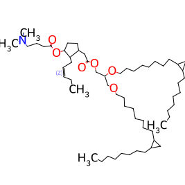 CC/C=C\CC1C(CC(=O)OCC(COCCCCCCCCC2CC2CCCCCCCC)OCCCCCCCCC2CC2CCCCCCCC)CCC1OC(=O)CCCN(C)C